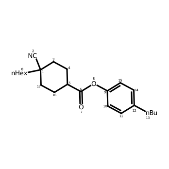 CCCCCCC1(C#N)CCC(C(=O)Oc2ccc(CCCC)cc2)CC1